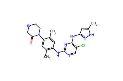 Cc1cc(Nc2nc(Nc3cc(C)c(N4CCNCC4=O)cc3C)ncc2Cl)n[nH]1